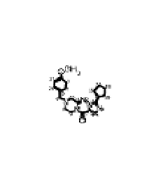 COc1ccc(CN2CCn3c(nn4c(C5CCCC5)nnc4c3=O)C2)cc1